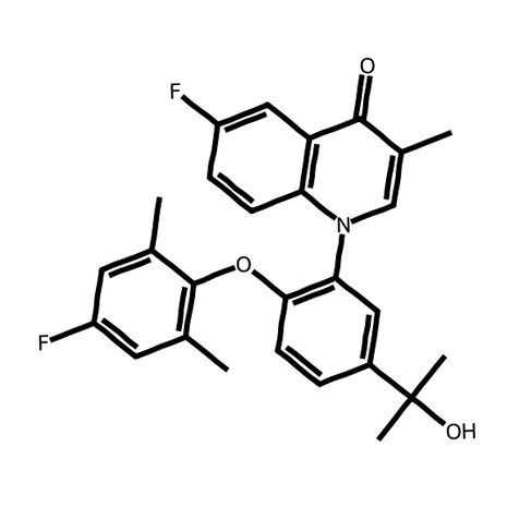 Cc1cc(F)cc(C)c1Oc1ccc(C(C)(C)O)cc1-n1cc(C)c(=O)c2cc(F)ccc21